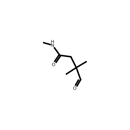 CNC(=O)CC(C)(C)[C]=O